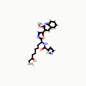 CCC(=O)CCCCCC(NC(=O)c1ccns1)c1ncc(-c2cc3ccccc3nc2OC)o1